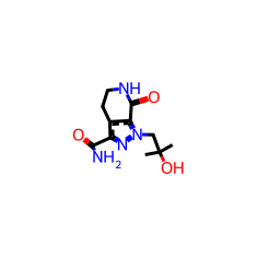 CC(C)(O)Cn1nc(C(N)=O)c2c1C(=O)NCC2